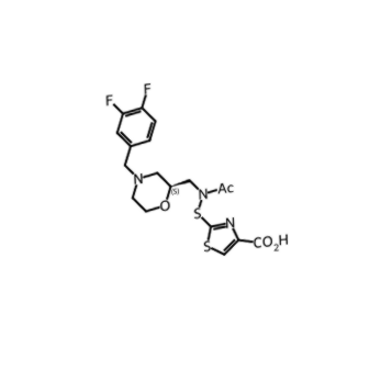 CC(=O)N(C[C@@H]1CN(Cc2ccc(F)c(F)c2)CCO1)Sc1nc(C(=O)O)cs1